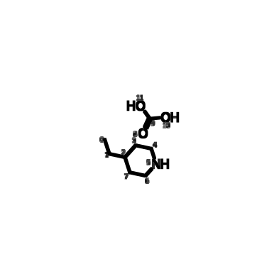 CCC1CCNCC1.O=C(O)O